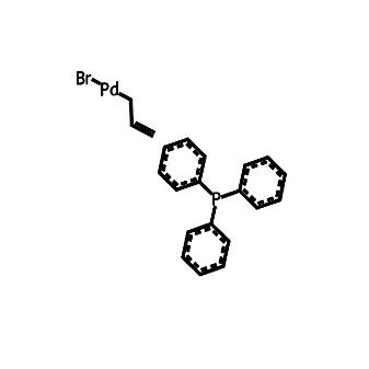 C=C[CH2][Pd][Br].c1ccc(P(c2ccccc2)c2ccccc2)cc1